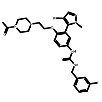 CC(=O)N1CCN(CCOc2ccc(NC(=O)NCc3cccc(F)c3)cc2-c2c(Br)cnn2C)CC1